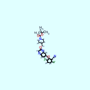 CC(C)(C)OC(=O)N1CCC(COc2cnc3ccc(Oc4c(F)ccc(F)c4C#N)cc3n2)CC1